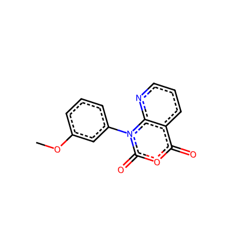 COc1cccc(-n2c(=O)oc(=O)c3cccnc32)c1